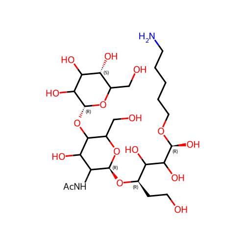 CC(=O)NC1C(O)C(O[C@H]2OC(CO)[C@@H](O)C(O)C2O)C(CO)O[C@H]1O[C@H](CCO)C(O)C(O)[C@H](O)OCCCCCN